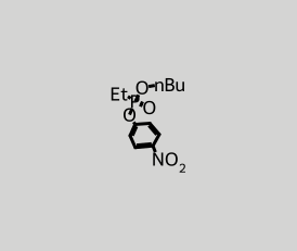 CCCCOP(=O)(CC)Oc1ccc([N+](=O)[O-])cc1